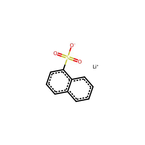 O=S(=O)([O-])c1cccc2ccccc12.[Li+]